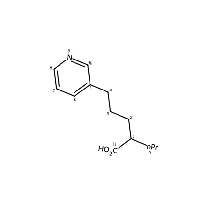 CCCC(CCCc1cccnc1)C(=O)O